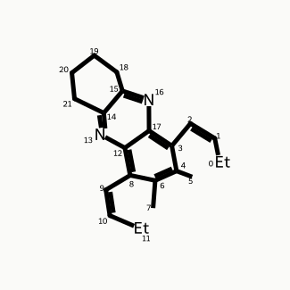 CC/C=C\c1c(C)c(C)c(/C=C\CC)c2nc3c(nc12)CCCC3